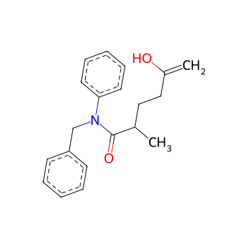 C=C(O)CCC(C)C(=O)N(Cc1ccccc1)c1ccccc1